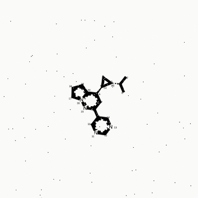 CC(C)[C@H]1C[C@@H]1c1cc(-c2cncnc2)nn2cccc12